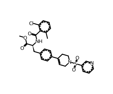 COC(=O)[C@H](Cc1ccc(C2=CCN(S(=O)(=O)c3cccnc3)CC2)cc1)NC(=O)c1c(C)cccc1Cl